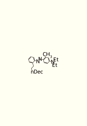 CCCCCCCCCCCCc1ccccc1N=Nc1ccc(N(CC)CC)cc1C